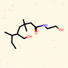 CCC(C)C(CO)CC(C)(C)[CH]C(=O)NCCO